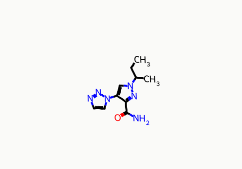 CCC(C)n1cc(-n2ccnn2)c(C(N)=O)n1